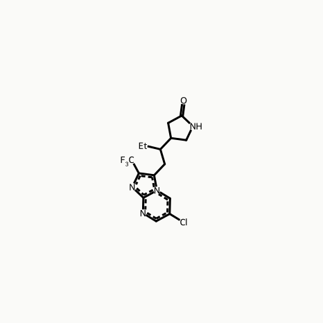 CCC(Cc1c(C(F)(F)F)nc2ncc(Cl)cn12)C1CNC(=O)C1